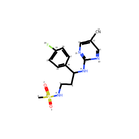 CS(=O)(=O)NCCC(Nc1ncc(C#N)cn1)c1ccc(F)cc1